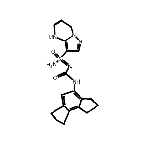 NS(=O)(=NC(=O)Nc1cc2c(c3c1CCC3)CCC2)c1cnn2c1NCCC2